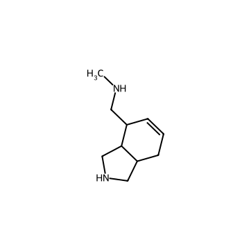 CNCC1C=CCC2CNCC12